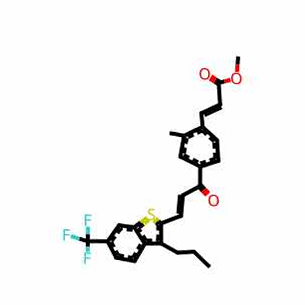 CCCc1c(C=CC(=O)c2ccc(C=CC(=O)OC)c(C)c2)sc2cc(C(F)(F)F)ccc12